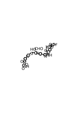 O=C1CCC(N2Cc3cc(N4CCC(COCC5CCN(c6ccc(-c7cnc8[nH]cc(C(=O)c9c(F)ccc(NS(=O)(=O)N%10CC[C@@H](F)C%10)c9F)c8c7)cc6)CC5)CC4)ccc3C2=O)C(=O)N1.O=CO